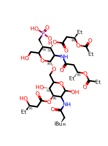 CCC(=O)O[C@H](CC)CC(=O)NC1[C@H](OCC2OC(O)C(NC(=O)C[C@H](C)CC)[C@@H](OC(=O)C[C@H](O)CC)[C@@H]2O)OC(CO)[C@@H](CP(=O)(O)O)[C@@H]1OC(=O)C[C@@H](CC)OC(=O)CC